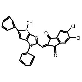 Cn1c(-c2ccccc2)cc2c1nc(C=C1C(=O)c3cc(Cl)c(Cl)cc3C1=O)n2-c1ccccc1